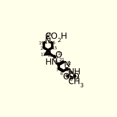 CS(=O)(=O)Nc1ccc(NC(=O)C2CC23CCN(C(=O)O)CC3)cn1